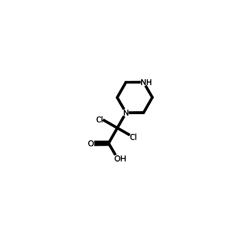 O=C(O)C(Cl)(Cl)N1CCNCC1